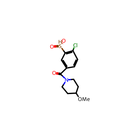 COC1CCN(C(=O)c2ccc(Cl)c([SH](=O)=O)c2)CC1